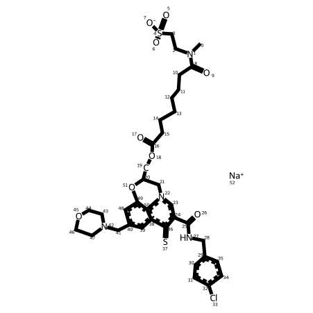 CN(CCS(=O)(=O)[O-])C(=O)CCCCCCC(=O)OCC1Cn2cc(C(=O)NCc3ccc(Cl)cc3)c(=S)c3cc(CN4CCOCC4)cc(c32)O1.[Na+]